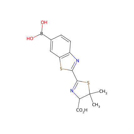 CC1(C)SC(c2nc3ccc(B(O)O)cc3s2)=NC1C(=O)O